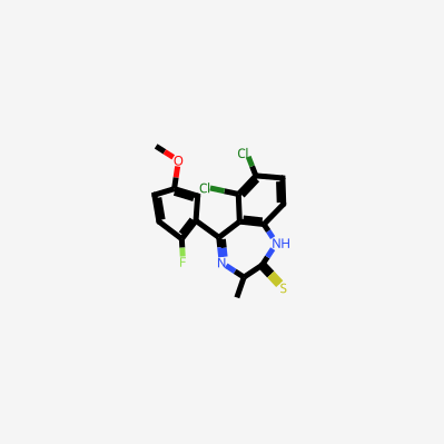 COc1ccc(F)c(C2=NC(C)C(=S)Nc3ccc(Cl)c(Cl)c32)c1